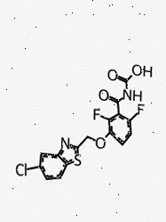 O=C(O)NC(=O)c1c(F)ccc(OCc2nc3cc(Cl)ccc3s2)c1F